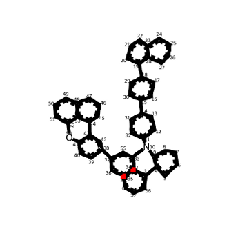 c1ccc(-c2ccccc2N(c2ccc(-c3ccc(-c4cccc5ccccc45)cc3)cc2)c2cccc(-c3ccc4c(c3)-c3cccc5cccc(c35)O4)c2)cc1